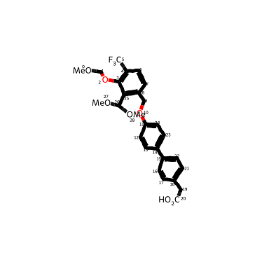 COCOc1c(C(F)(F)F)ccc(COc2ccc(-c3ccc(CC(=O)O)cc3)cc2)c1C(OC)OC